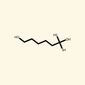 OCCCCCC(O)(S)S